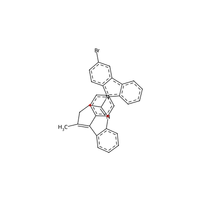 C/C1=C(/c2ccccc2)c2ccccc2/N=C(/n2c3ccccc3c3cc(Br)ccc32)CC1